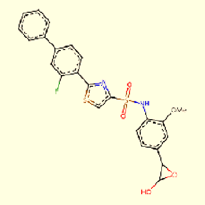 COc1cc(C2OC2O)ccc1NS(=O)(=O)c1csc(-c2ccc(-c3ccccc3)cc2F)n1